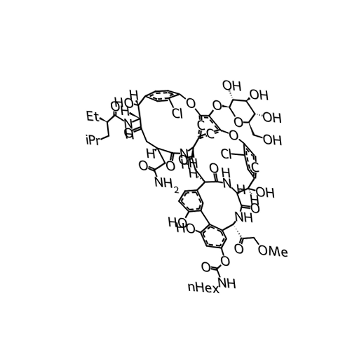 CCCCCCNC(=O)Oc1cc(O)c2c(c1)[C@@H](C(=O)COC)NC(=O)[C@H]1NC(=O)[C@H](CC(=O)[C@@H]3NC(=O)[C@H](CC(N)=O)CC(=O)[C@H](NC(=O)[C@H](CC)CC(C)C)[C@H](O)c4ccc(c(Cl)c4)Oc4cc3cc(c4O[C@@H]3O[C@H](CO)[C@@H](O)[C@H](O)[C@H]3O)Oc3ccc(cc3Cl)[C@H]1O)c1ccc(O)c-2c1